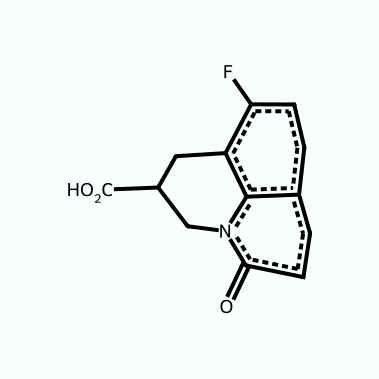 O=C(O)C1Cc2c(F)ccc3ccc(=O)n(c23)C1